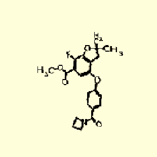 COC(=O)c1cc(Oc2ccc(C(=O)N3CCC3)cc2)c2c(c1F)OC(C)(C)C2